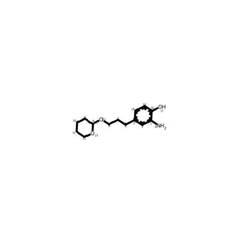 Nc1cc(CCCOC2CCCCO2)ccc1O